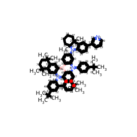 CC(C)(C)c1ccc(N2c3cc(N4c5ccc(-c6cccnc6)cc5C5(C)CCCCC45C)ccc3B3c4cc5c(cc4N(c4ccc(C(C)(C)C)cc4-c4ccccc4)c4cc(C(C)(C)C)cc2c43)C(C)(C)CCC5(C)C)cc1